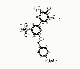 COc1ccc(COc2cc(-c3cc(C)c(=O)n(C)c3)cc([SH](C)(C)=O)c2)cc1